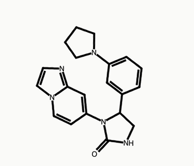 O=C1NCC(c2cccc(N3CCCC3)c2)N1c1ccn2ccnc2c1